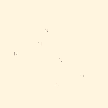 CCC(=O)N(c1ccccc1)c1ccnc2ccnn12